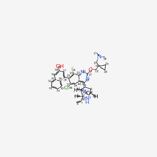 C=C[C@H]1N[C@H]2CC[C@@H]1N(c1nc(OCC3(CN(C)C)CC3)nc3c(F)c(-c4cc(O)cc5ccccc45)c(Cl)cc13)C2